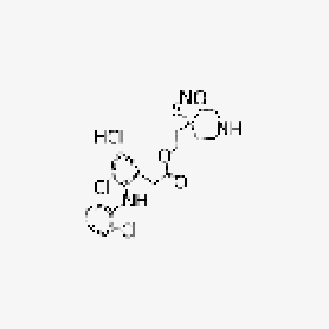 Cl.O=NSC1(CCOC(=O)Cc2ccccc2Nc2c(Cl)cccc2Cl)CCNCC1